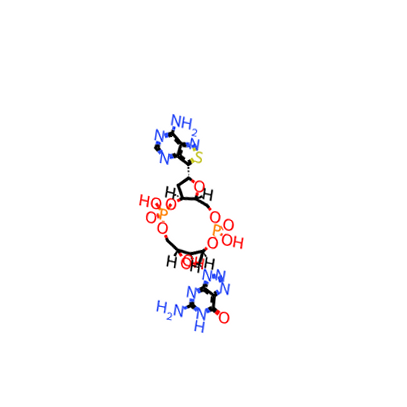 Nc1nc2c(nnn2[C@@H]2O[C@@H]3COP(=O)(O)O[C@H]4C[C@H](c5snc6c(N)ncnc56)O[C@@H]4COP(=O)(O)O[C@@H]2[C@@H]3O)c(=O)[nH]1